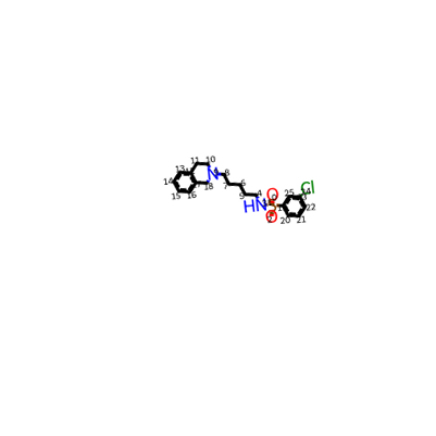 O=S(=O)(NCCCCCN1CCc2ccccc2C1)c1cccc(Cl)c1